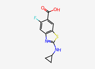 O=C(O)c1cc2sc(NC3CC3)nc2cc1F